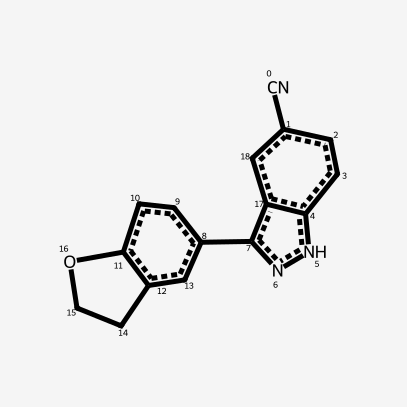 N#Cc1ccc2[nH]nc(-c3ccc4c(c3)CCO4)c2c1